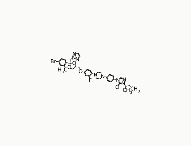 CCC(C)n1ncn(-c2ccc(N3CCN(c4ccc(OC[C@@H]5CO[C@@](Cn6nccn6)(c6ccc(Br)cc6C)O5)cc4F)CC3)cc2)c1=O